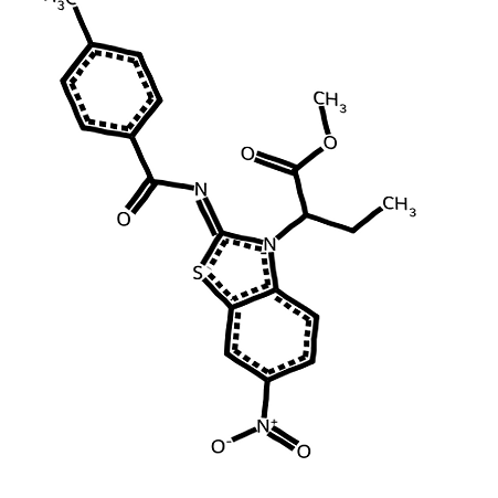 CCC(C(=O)OC)n1c(=NC(=O)c2ccc(C)cc2)sc2cc([N+](=O)[O-])ccc21